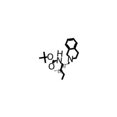 CC[C@H](C)[C@@H](CN1CCc2ccccc2C1)NC(=O)OC(C)(C)C